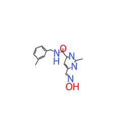 Cc1cccc(CNC(=O)c2cc(/C=N/O)nc(C)n2)c1